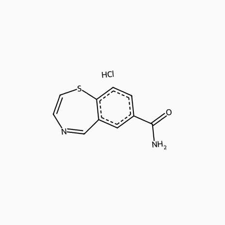 Cl.NC(=O)c1ccc2c(c1)C=NC=CS2